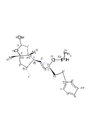 C[C@@H]1C[C@@H]2OC(O)C[C@@H]2[C@H]1/C=C/[C@H](CCc1ccccc1)OPP